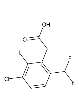 O=C(O)Cc1c(C(F)F)ccc(Cl)c1I